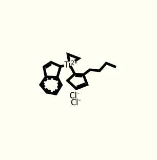 CCCCC1=[C]([Ti+2]2([CH]3C=Cc4ccccc43)[CH2][CH2]2)CC=C1.[Cl-].[Cl-]